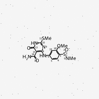 CN[S+]([O-])c1ccc(Nc2nc(SC)[nH]c(=O)c2C(N)=O)cc1OC